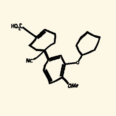 COc1ccc(C2(C#N)CCC=C(C(=O)O)C2)cc1OC1CCCC1